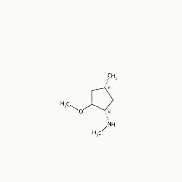 CN[C@H]1C[C@@H](C)CC1OC